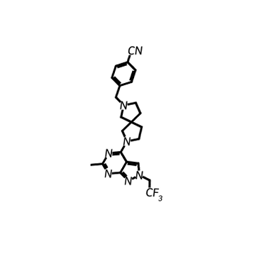 Cc1nc(N2CCC3(CCN(Cc4ccc(C#N)cc4)C3)C2)c2cn(CC(F)(F)F)nc2n1